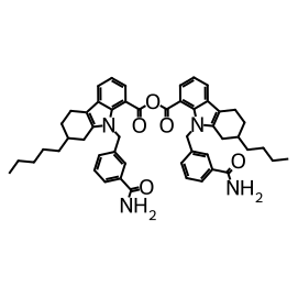 CCCCCC1CCc2c(n(Cc3cccc(C(N)=O)c3)c3c(C(=O)OC(=O)c4cccc5c6c(n(Cc7cccc(C(N)=O)c7)c45)CC(CCCC)CC6)cccc23)C1